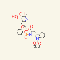 Cc1ncc(COc2ccccc2O/[P+]([O-])=N\C(Cc2cn(C(=O)OC(C)(C)C)c3ccccc23)C(=O)OC(C)C)c(CO)c1O